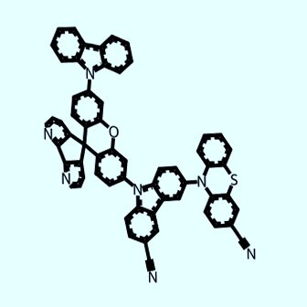 N#Cc1ccc2c(c1)Sc1ccccc1N2c1ccc2c(c1)c1cc(C#N)ccc1n2-c1ccc2c(c1)Oc1cc(-n3c4ccccc4c4ccccc43)ccc1C21c2cccnc2-c2ncccc21